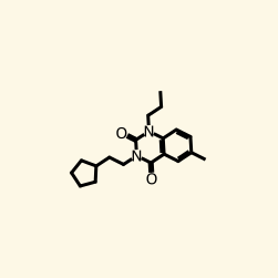 CCCn1c(=O)n(CCC2CCCC2)c(=O)c2cc(C)ccc21